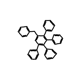 [c]1ccc(Cc2cc(-c3ccccc3)c(-c3ccccc3)c(-c3ccccc3)c2-c2ccccc2)cc1